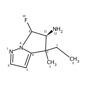 CCC1(C)c2ccnn2C(F)[C@H]1N